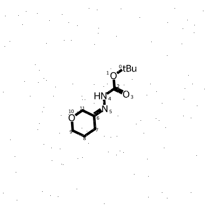 CC(C)(C)OC(=O)N/N=C1/CCCOC1